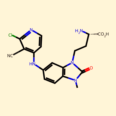 Cn1c(=O)n(CC[C@H](N)C(=O)O)c2cc(Nc3ccnc(Cl)c3C#N)ccc21